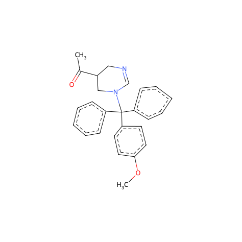 COc1ccc(C(c2ccccc2)(c2ccccc2)N2C=NCC(C(C)=O)C2)cc1